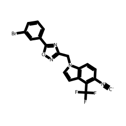 [C-]#[N+]c1ccc2c(ccn2Cc2noc(-c3cccc(Br)c3)n2)c1C(F)(F)F